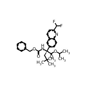 CC(C)OC(=O)[C@](CC(C)(C)C)(NC(=O)OCc1ccccc1)c1ccc2nc(C(F)F)ccc2c1